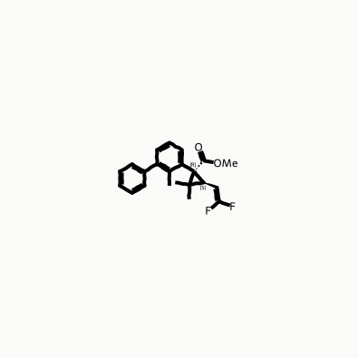 COC(=O)[C@]1(c2cccc(-c3ccccc3)c2C)[C@@H](C=C(F)F)C1(C)C